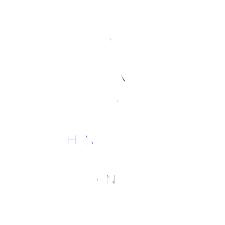 Nc1c(OC[C@H]2CO2)cccc1[N+](=O)[O-]